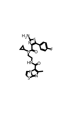 Cc1nc2sccn2c1C(=O)NCCN(C(=O)c1nc(N)sc1-c1ccc(F)cc1)C1CC1